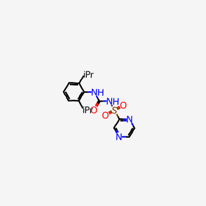 CC(C)c1cccc(C(C)C)c1NC(=O)NS(=O)(=O)c1cnccn1